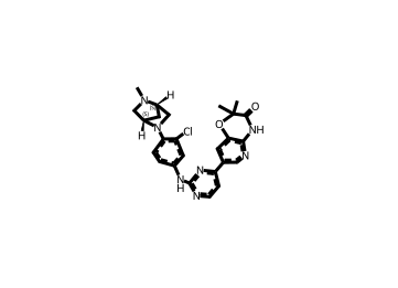 CN1C[C@@H]2C[C@H]1CN2c1ccc(Nc2nccc(-c3cnc4c(c3)OC(C)(C)C(=O)N4)n2)cc1Cl